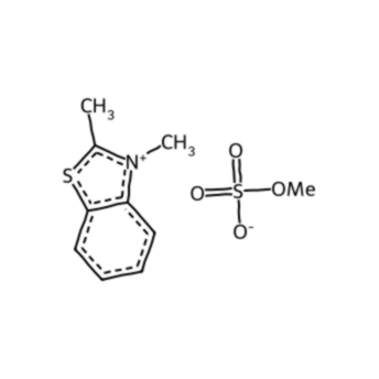 COS(=O)(=O)[O-].Cc1sc2ccccc2[n+]1C